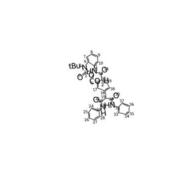 CC(C)(C)N(C(=O)OC(=O)O)c1ccccc1NC(=O)c1ccc(C(C(=O)Nc2ccccc2)C(=O)Nc2ccccc2)cc1